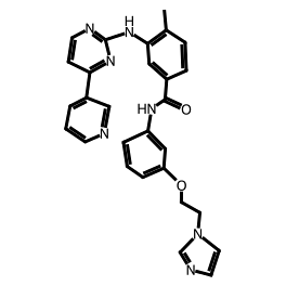 Cc1ccc(C(=O)Nc2cccc(OCCn3ccnc3)c2)cc1Nc1nccc(-c2cccnc2)n1